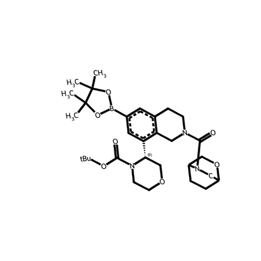 CC(C)(C)OC(=O)N1CCOC[C@H]1c1cc(B2OC(C)(C)C(C)(C)O2)cc2c1CN(C(=O)N1CC3CCC1CO3)CC2